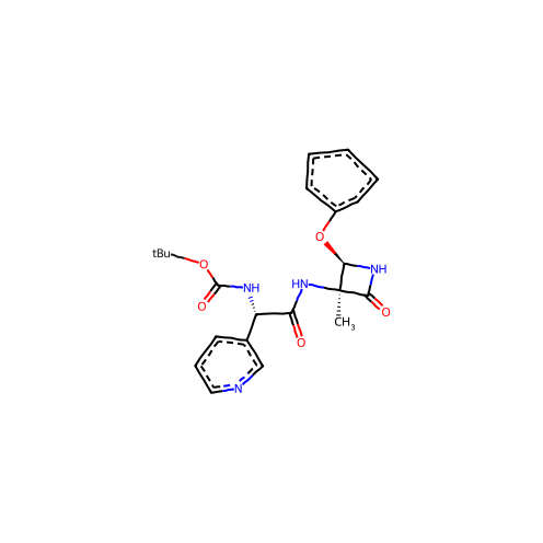 CC(C)(C)OC(=O)N[C@H](C(=O)N[C@]1(C)C(=O)N[C@@H]1Oc1ccccc1)c1cccnc1